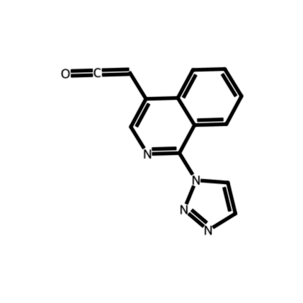 O=C=Cc1cnc(-n2ccnn2)c2ccccc12